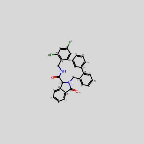 O=C(NCc1ccc(F)cc1F)C1c2ccccc2C(=O)N1Cc1ccccc1-c1ccccc1